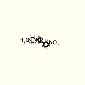 CN1CCN(c2cnn(-c3cccc([N+](=O)[O-])c3)c2)CC1